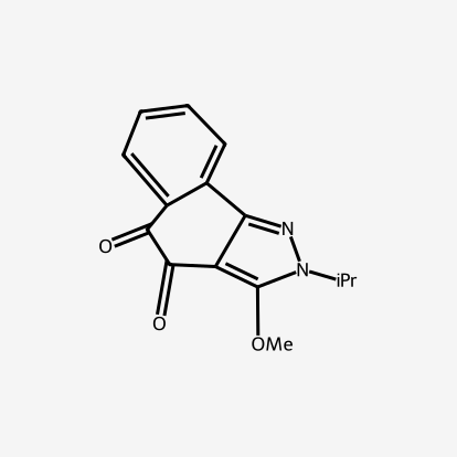 COc1c2c(nn1C(C)C)-c1ccccc1C(=O)C2=O